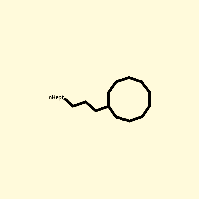 CCCCCCCCCC[C]1CCCCCCCCC1